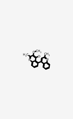 COc1c(C)nc2cccc(-c3cc(C)nc4ccccc34)c2c1[O]